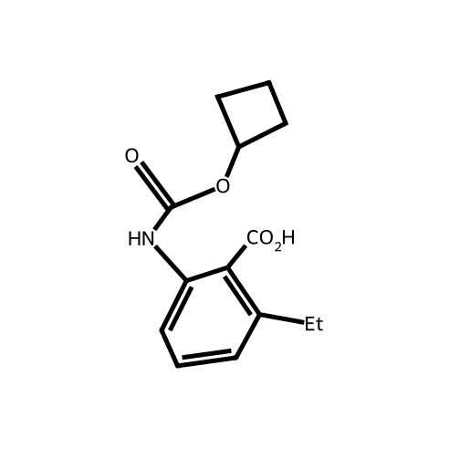 CCc1cccc(NC(=O)OC2CCC2)c1C(=O)O